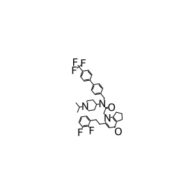 CC(C)N1CCC(N(Cc2ccc(-c3ccc(C(F)(F)F)cc3)cc2)C(=O)Cn2c(CCc3cccc(F)c3F)cc(=O)c3c2CCC3)CC1